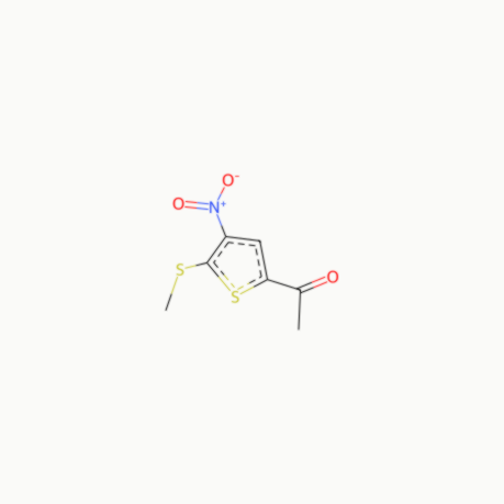 CSc1sc(C(C)=O)cc1[N+](=O)[O-]